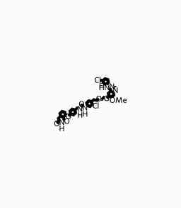 COc1cc2ncnc(Nc3cccc(Cl)c3F)c2cc1OCCOCCc1ccc(NC(=O)NCc2ccc(Oc3cccc4c3C(=O)NC(=O)C4)cc2)cc1Cl